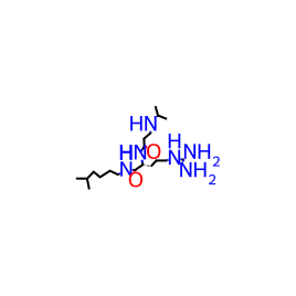 CC(C)CCCCNC(=O)[C@@H](CCCNC(N)N)NC(=O)CCNC(C)C